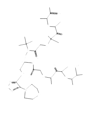 CC(=O)C(C)OC(C)C(=O)C(C)(C)OCC(=O)N(C[C@@H](COc1nsnc1N1CCOCC1)OC(=O)COC(C)C(=O)C(C)OC(C)C(C)O)C(C)(C)C